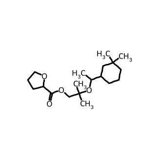 CC(OC(C)(C)COC(=O)C1CCCO1)C1CCCC(C)(C)C1